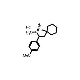 COc1ccc(C(CC2(O)CCCCC2)N(C)C)cc1.Cl